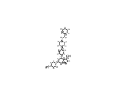 CC(C)c1ccc(-c2cc(-c3ccc(N4CCN(CCc5ccccn5)CC4)nc3)c3c(C#N)cnn3c2)cc1